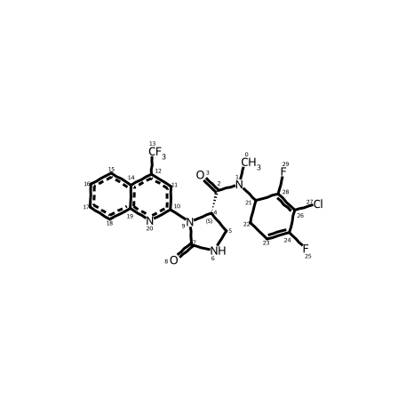 CN(C(=O)[C@@H]1CNC(=O)N1c1cc(C(F)(F)F)c2ccccc2n1)C1CC=C(F)C(Cl)=C1F